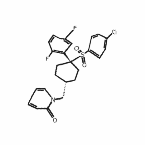 O=c1ccccn1C[C@H]1CC[C@@](c2cc(F)ccc2F)(S(=O)(=O)c2ccc(Cl)cc2)CC1